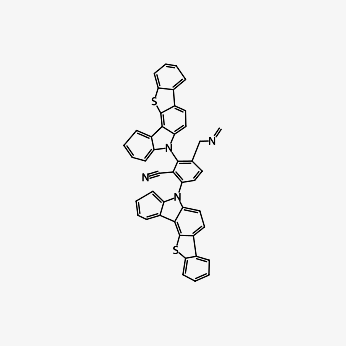 C=NCc1ccc(-n2c3ccccc3c3c4sc5ccccc5c4ccc32)c(C#N)c1-n1c2ccccc2c2c3sc4ccccc4c3ccc21